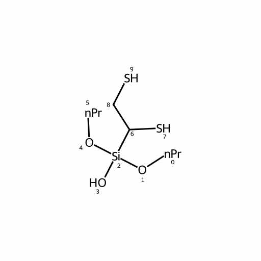 CCCO[Si](O)(OCCC)C(S)CS